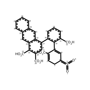 O=C(O)C1=CCC(=S(=O)=O)C=C1c1c(C(=O)O)cccc1-c1cc(C(=O)O)c(C(=O)O)c2cc3ccccc3cc12